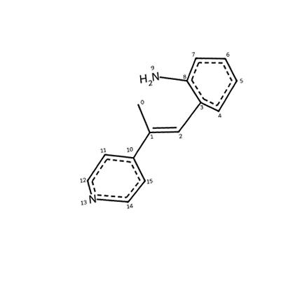 C/C(=C\c1ccccc1N)c1ccncc1